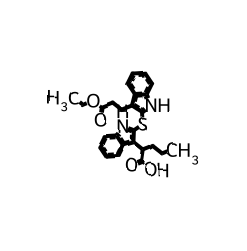 CCCC(C(=O)O)c1c(Sc2[nH]c3ccccc3c2CCC(=O)OCC)[nH]c2ccccc12